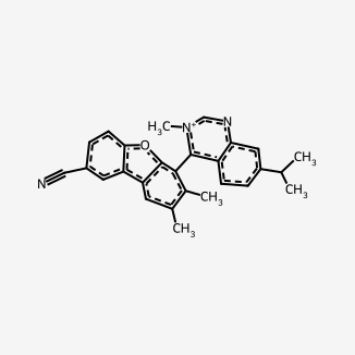 Cc1cc2c(oc3ccc(C#N)cc32)c(-c2c3ccc(C(C)C)cc3nc[n+]2C)c1C